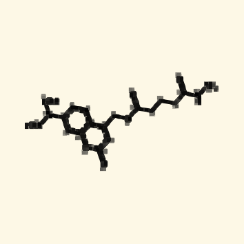 CCCCCCCCN(CCCCCCCC)c1ccc2c(COC(=O)CCCC(=O)NN)cc(=O)oc2c1